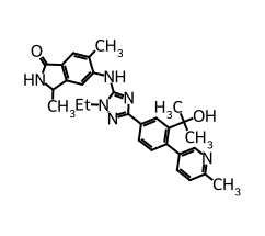 CCn1nc(-c2ccc(-c3ccc(C)nc3)c(C(C)(C)O)c2)nc1Nc1cc2c(cc1C)C(=O)NC2C